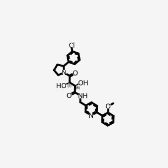 COc1ccccc1-c1ccc(CNC(=O)[C@H](O)[C@@H](O)C(=O)N2CCCC2c2cccc(Cl)c2)cn1